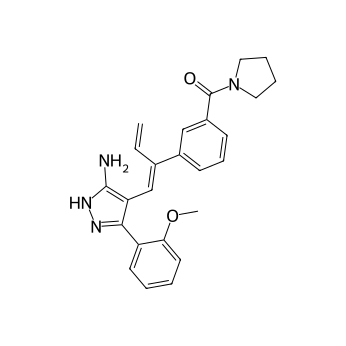 C=C/C(=C\c1c(-c2ccccc2OC)n[nH]c1N)c1cccc(C(=O)N2CCCC2)c1